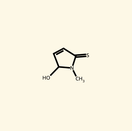 CN1C(=S)C=CC1O